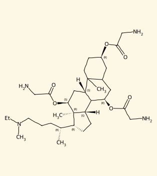 CCN(C)CCC[C@@H](C)[C@H]1CC[C@H]2C3[C@H](OC(=O)CN)CC4C[C@H](OC(=O)CN)CCC4(C)[C@H]3C[C@H](OC(=O)CN)[C@]12C